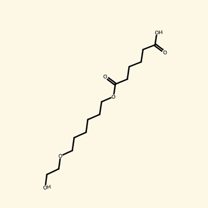 O=C(O)CCCCC(=O)OCCCCCCOCCO